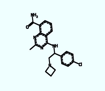 Cc1nc(NC(CN2CCC2)c2ccc(Cl)cc2)c2cccc(C(N)=O)c2n1